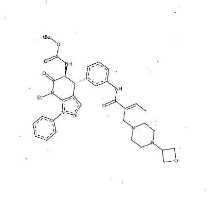 C/C=C(\CN1CCN(C2COC2)CC1)C(=O)Nc1cccc([C@@H]2c3cnn(-c4ccccc4)c3N(CC)C(=O)[C@H]2NC(=O)OC(C)(C)C)c1